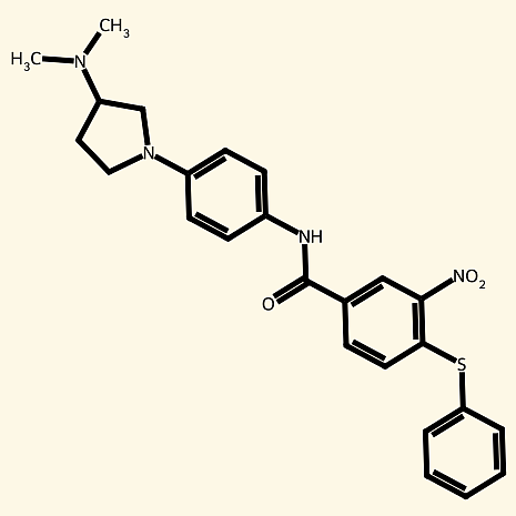 CN(C)C1CCN(c2ccc(NC(=O)c3ccc(Sc4ccccc4)c([N+](=O)[O-])c3)cc2)C1